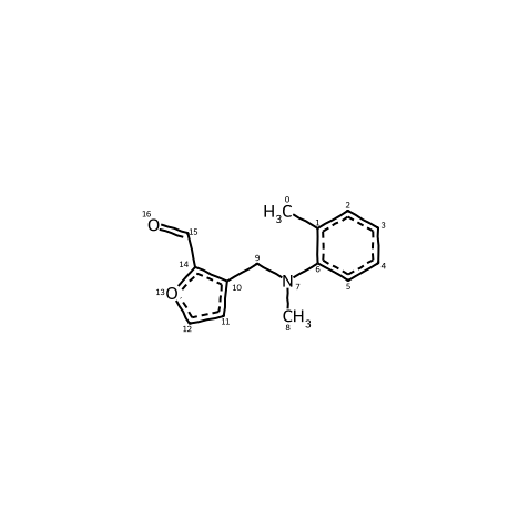 Cc1ccccc1N(C)Cc1ccoc1C=O